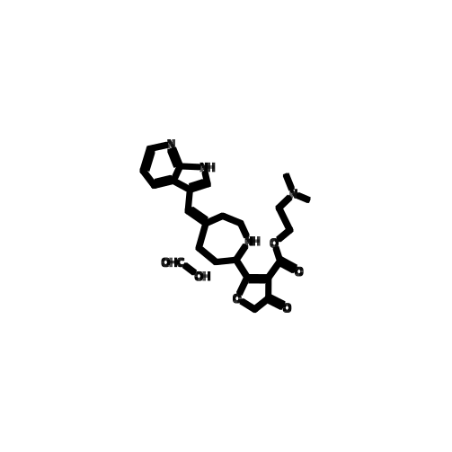 CN(C)CCOC(=O)C1=C(C2CCC(=Cc3c[nH]c4ncccc34)CCN2)OCC1=O.O=CO